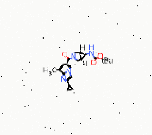 Cc1cc(C(=O)N2C[C@@H]3C(NC(=O)OC(C)(C)C)[C@@H]3C2)cn2cc(C3CC3)nc12